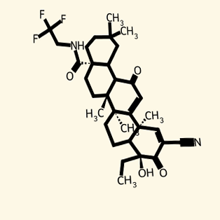 CC[C@@]1(O)C(=O)C(C#N)=C[C@]2(C)C3=CC(=O)C4C5CC(C)(C)CC[C@]5(C(=O)NCC(F)(F)F)CC[C@@]4(C)[C@]3(C)CCC12